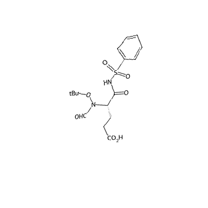 CC(C)(C)ON(C=O)[C@@H](CCC(=O)O)C(=O)NS(=O)(=O)c1ccccc1